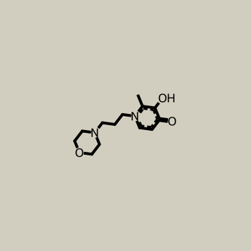 Cc1c(O)c(=O)ccn1CCCN1CCOCC1